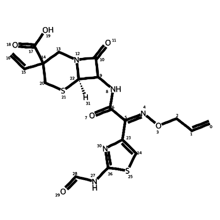 C=CCON=C(C(=O)NC1C(=O)N2CC(C=C)(C(=O)O)CS[C@H]12)c1csc(NC=O)n1